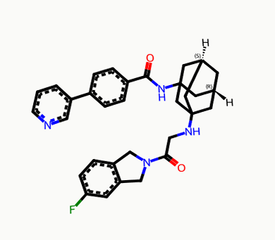 O=C(NC12C[C@@H]3C[C@@H](CC(NCC(=O)N4Cc5ccc(F)cc5C4)(C3)C1)C2)c1ccc(-c2cccnc2)cc1